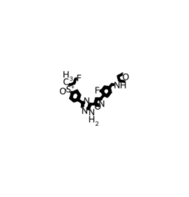 CC(CCF)[S+]([O-])c1ccc(-c2cnc(N)c(-c3cc(-c4ccc(CNC5CCOC5)cc4F)no3)n2)cc1